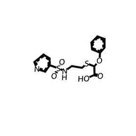 O=C(O)C(Oc1ccccc1)SCCNS(=O)(=O)c1cccnc1